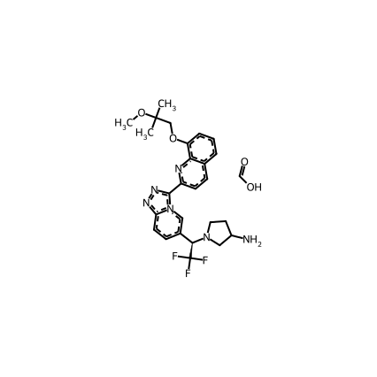 COC(C)(C)COc1cccc2ccc(-c3nnc4ccc([C@@H](N5CCC(N)C5)C(F)(F)F)cn34)nc12.O=CO